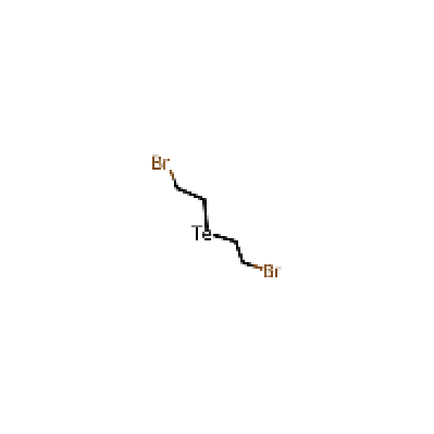 BrCC[Te]CCBr